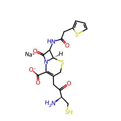 N[C@H](CS)C(=O)CC1=C(C(=O)[O-])N2C(=O)C(NC(=O)Cc3cccs3)[C@H]2SC1.[Na+]